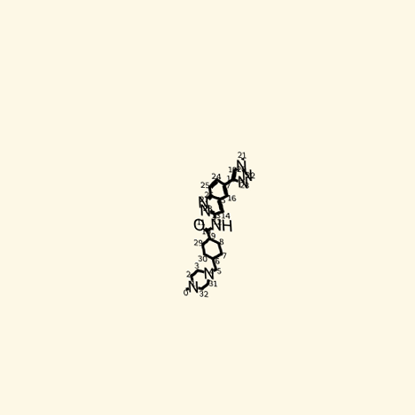 CN1CCN(CC2CCC(C(=O)Nc3cc4cc(-c5cn(C)nn5)ccc4nn3)CC2)CC1